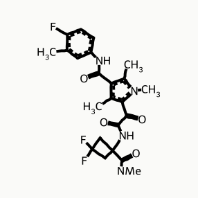 CNC(=O)C1(NC(=O)C(=O)c2c(C)c(C(=O)Nc3ccc(F)c(C)c3)c(C)n2C)CC(F)(F)C1